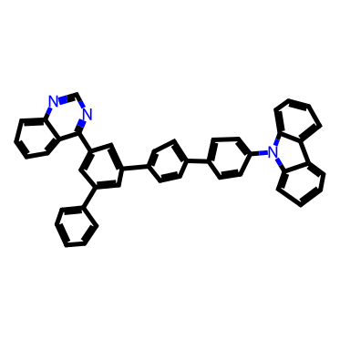 c1ccc(-c2cc(-c3ccc(-c4ccc(-n5c6ccccc6c6ccccc65)cc4)cc3)cc(-c3ncnc4ccccc34)c2)cc1